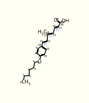 CCCCCCOc1ccc(/C=C/C(C)=C/C=C/C(=O)O)cc1